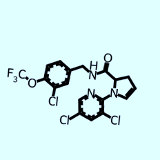 O=C(NCc1ccc(OC(F)(F)F)c(Cl)c1)C1CC=CN1c1ncc(Cl)cc1Cl